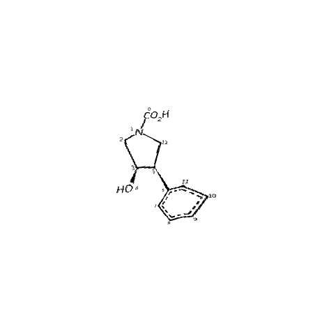 O=C(O)N1C[C@H](O)[C@H](c2ccccc2)C1